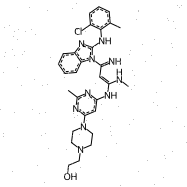 CN/C(=C\C(=N)n1c(Nc2c(C)cccc2Cl)nc2ccccc21)Nc1cc(N2CCN(CCO)CC2)nc(C)n1